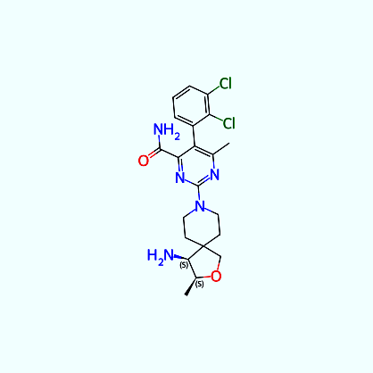 Cc1nc(N2CCC3(CC2)CO[C@@H](C)[C@H]3N)nc(C(N)=O)c1-c1cccc(Cl)c1Cl